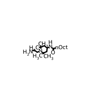 CCCCCCCCC(=O)NC1CC(C)(C)N(CCN)C(C)(C)C1